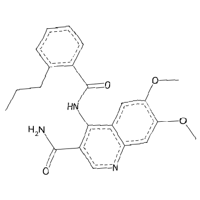 CCCc1ccccc1C(=O)Nc1c(C(N)=O)cnc2cc(OC)c(OC)cc12